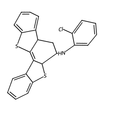 Clc1ccccc1NC1CC2C(=C3c4ccccc4SC31)Sc1ccccc12